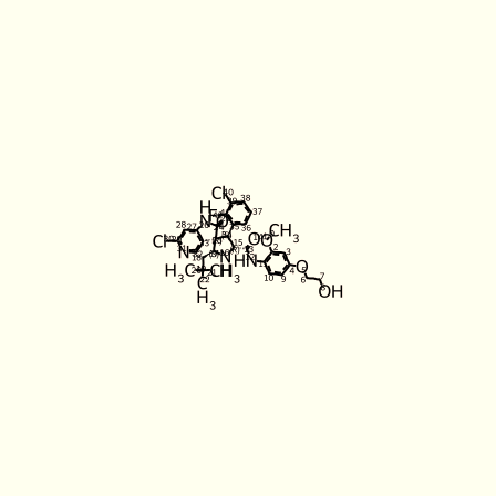 COc1cc(OCCO)ccc1NC(=O)[C@@H]1N[C@@H](CC(C)(C)C)[C@@]2(C(=O)Nc3cc(Cl)ncc32)[C@H]1c1cccc(Cl)c1F